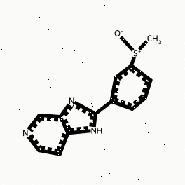 C[S+]([O-])c1cccc(-c2nc3cnccc3[nH]2)c1